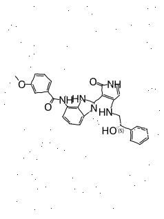 COc1cccc(C(=O)Nc2cccc3nc(-c4c(NC[C@@H](O)c5ccccc5)cc[nH]c4=O)[nH]c23)c1